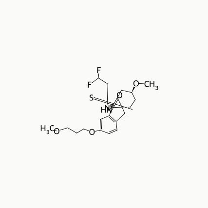 COCCCOc1ccc2c(c1)C1(NC(=S)N(CC(F)F)C1=O)[C@]1(CC[C@H](OC)CC1)C2